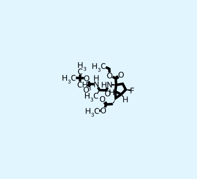 CCOC(=O)[C@]1(NC(=O)[C@H](C)NC(=O)OC(C)(C)C)C[C@@H](F)[C@H]2[C@H](CC(=O)OC)[C@H]21